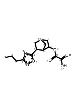 CCCc1noc(C2CN3CC(OC(=O)C(=O)O)C2C3)n1